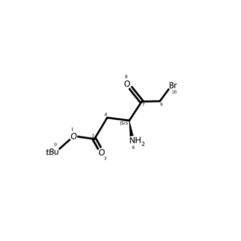 CC(C)(C)OC(=O)C[C@H](N)C(=O)CBr